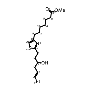 CCC=CCC(O)CCc1nc(CCCCCCC(=O)OC)cs1